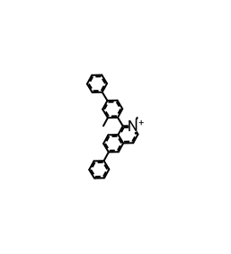 Cc1cc(-c2ccccc2)ccc1-c1c2ccc(-c3ccccc3)cc2cc[n+]1C